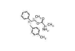 Cc1ccc(C[C@H](c2ccccc2)[C@H](C)OC(=O)[C@H](C)N)cc1